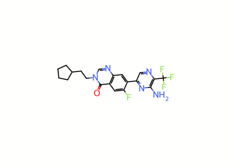 Nc1nc(-c2cc3ncn(CCC4CCCC4)c(=O)c3cc2F)cnc1C(F)(F)F